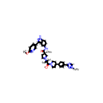 [2H]C([2H])(C(=O)N1CC=C(c2ccc(-c3ncn(CCC)n3)cc2)CC1)N1CC[C@@](OC)(C(=O)Nc2ccc3[nH]nc(-c4ccc(OC(C)C)nc4)c3c2)C1